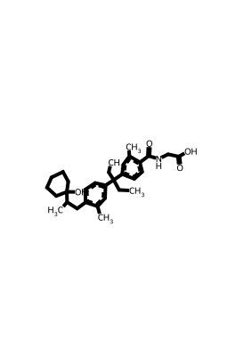 CCC(CC)(c1ccc(CC(C)C2(O)CCCCC2)c(C)c1)c1ccc(C(=O)NCC(=O)O)c(C)c1